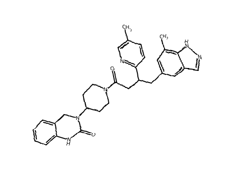 Cc1ccc(C(CC(=O)N2CCC(N3Cc4ccccc4NC3=O)CC2)Cc2cc(C)c3[nH]ncc3c2)nc1